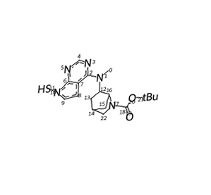 CN(c1ncnc2c1ccn2S)C1CC2CC1N(C(=O)OC(C)(C)C)C2